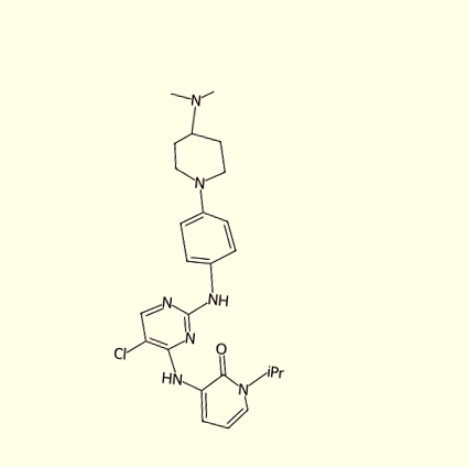 CC(C)n1cccc(Nc2nc(Nc3ccc(N4CCC(N(C)C)CC4)cc3)ncc2Cl)c1=O